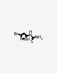 NC(=S)Nc1cc(Br)n[nH]1